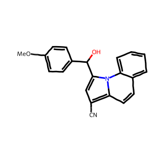 COc1ccc(C(O)c2cc(C#N)c3ccc4ccccc4n23)cc1